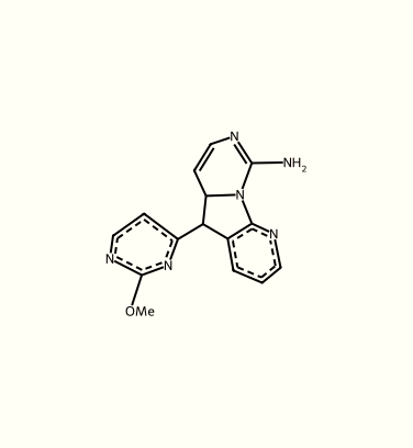 COc1nccc(C2c3cccnc3N3C(N)=NC=CC23)n1